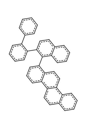 c1ccc(-c2ccccc2-c2ccc3ccccc3c2-c2cccc3c2ccc2c4ccccc4ccc32)cc1